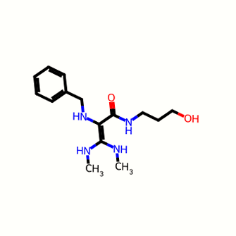 CNC(NC)=C(NCc1ccccc1)C(=O)NCCCO